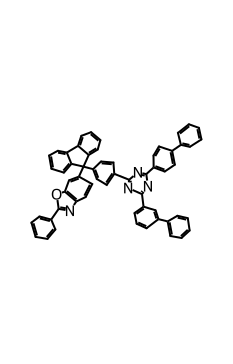 c1ccc(-c2ccc(-c3nc(-c4ccc(C5(c6ccc7nc(-c8ccccc8)oc7c6)c6ccccc6-c6ccccc65)cc4)nc(-c4cccc(-c5ccccc5)c4)n3)cc2)cc1